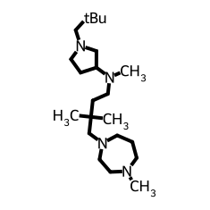 CN1CCCN(CC(C)(C)CCN(C)C2CCN(CC(C)(C)C)C2)CC1